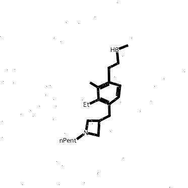 CBCCc1ccc(CC2CN(CCCCC)C2)c(CC)c1C